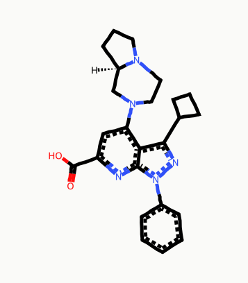 O=C(O)c1cc(N2CCN3CCC[C@@H]3C2)c2c(C3CCC3)nn(-c3ccccc3)c2n1